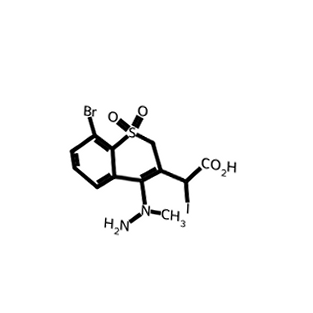 CN(N)C1=C(C(I)C(=O)O)CS(=O)(=O)c2c(Br)cccc21